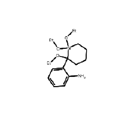 CCOC1(c2ccccc2N)CCCC[Si]1(OCC)OCC